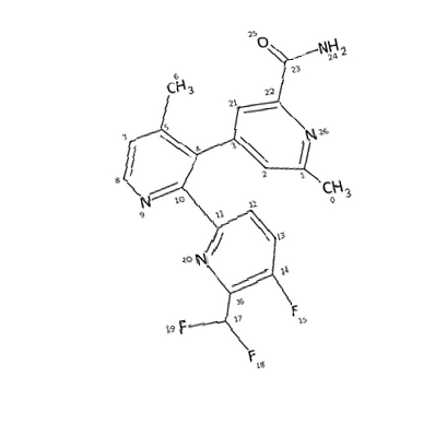 Cc1cc(-c2c(C)ccnc2-c2ccc(F)c(C(F)F)n2)cc(C(N)=O)n1